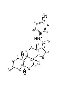 C[C@H]1CC[C@@H]2C3CC[C@@]4(C)C(CCC4[C@@H](C)Nc4ccc(C#N)cc4)[C@@H]3CC[C@@H]2C1